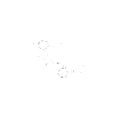 O=C(NS(=O)(=O)c1cccc(N2CC3CCC(C2)O3)n1)C1(Oc2cc(Cl)ccc2C2CCCCC2)CC1